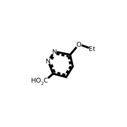 CCOc1ccc(C(=O)O)nn1